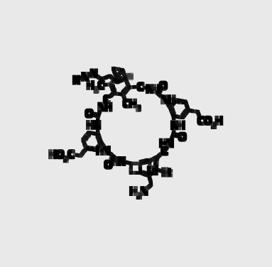 CCc1c2c(CC)c3c(c1CN)CC3NC(=O)Nc1cc(CC(=O)O)ccc1NC(=O)NCC1=C(C)C34CC3[C@]4(CCCN=[N+]=[N-])C(=C1C)CNC(=O)Nc1ccc(CC(=O)O)cc1NC(=O)NC2